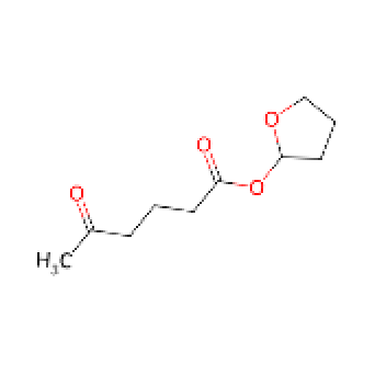 CC(=O)CCCC(=O)OC1CCCO1